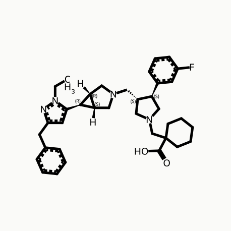 CCn1nc(Cc2ccccc2)cc1[C@H]1[C@@H]2CN(C[C@H]3CN(CC4(C(=O)O)CCCCC4)C[C@@H]3c3cccc(F)c3)C[C@@H]21